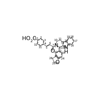 O=C(O)c1ccc(/C=C/C(=O)N2CCc3c([nH]c4ccccc34)C2c2ccc3c(c2)CCO3)cc1